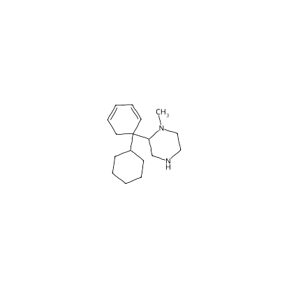 CN1CCNCC1C1(C2CCCCC2)C=CC=CC1